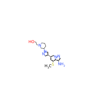 CSc1cc(-c2cnn(C3CCCN(CCO)C3)c2)cn2ncc(N)c12